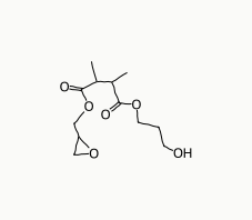 CC(C(=O)OCCCO)C(C)C(=O)OCC1CO1